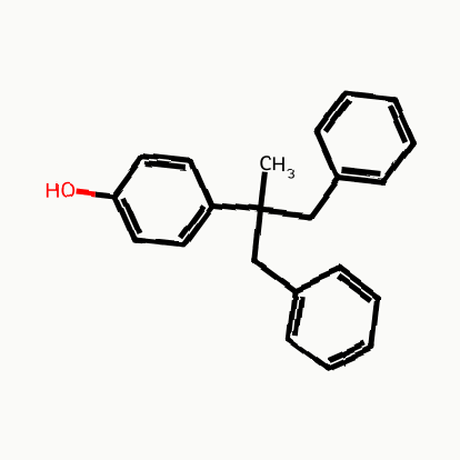 CC(Cc1ccccc1)(Cc1ccccc1)c1ccc(O)cc1